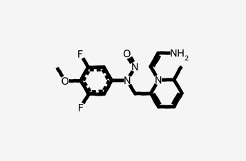 COc1c(F)cc(N(CC2=CC=CC(C)N2/C=C\N)N=O)cc1F